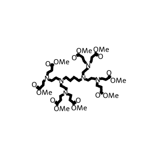 COC(=O)CCN(CCC(=O)OC)CCN(CCCCN(CCN(CCC(=O)OC)CCC(=O)OC)CCN(CCC(=O)OC)CCC(=O)OC)CCN(CCC(=O)OC)CCC(=O)OC